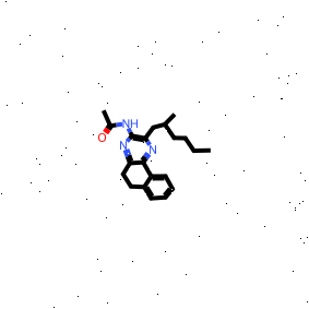 CCCCC(C)Cc1nc2c(nc1NC(C)=O)CCc1ccccc1-2